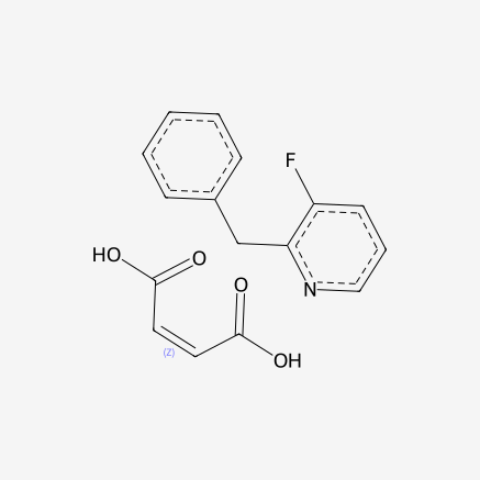 Fc1cccnc1Cc1ccccc1.O=C(O)/C=C\C(=O)O